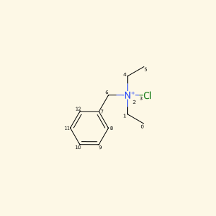 CC[N+](Cl)(CC)Cc1ccccc1